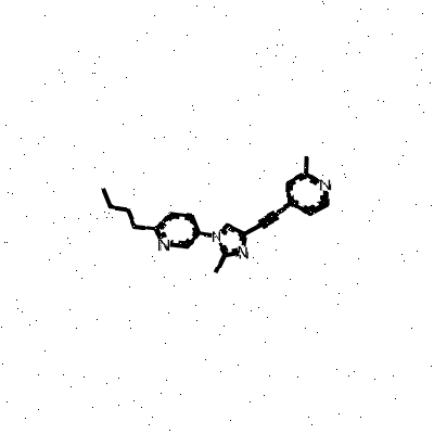 CCCCc1ccc(-n2cc(C#Cc3ccnc(C)c3)nc2C)cn1